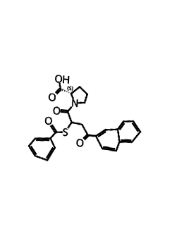 O=C(CC(SC(=O)c1ccccc1)C(=O)N1CCC[C@H]1C(=O)O)c1ccc2ccccc2c1